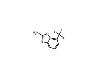 Nc1nc2cccc(C(F)(F)F)c2o1